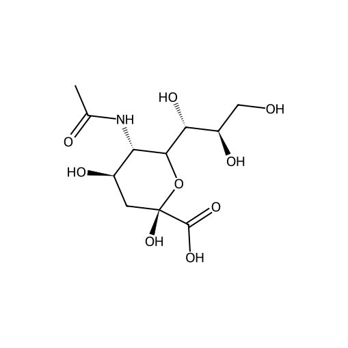 CC(=O)N[C@@H]1C([C@H](O)[C@H](O)CO)O[C@](O)(C(=O)O)C[C@H]1O